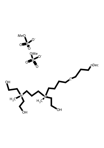 CCCCCCCCCCCCCCCCCC[N+](C)(CCO)CCC[N+](C)(CCO)CCO.COS(=O)(=O)[O-].COS(=O)(=O)[O-]